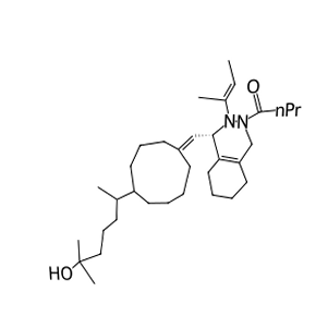 C/C=C(\C)N1[C@@H](/C=C2\CCCCC(C(C)CCCC(C)(C)O)CCC2)C2=C(CCCC2)CN1C(=O)CCC